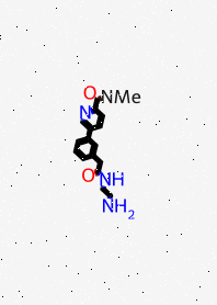 CNC(=O)c1ccc(-c2cccc(CC(=O)NCCN)c2)cn1